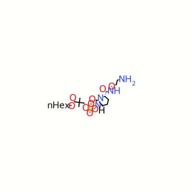 CCCCCCOC(=O)C(C)(C)COS(=O)(=O)ON1C(=O)N2C[C@H]1CC[C@H]2C(=O)NOCCN